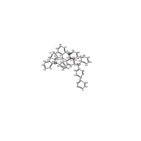 c1ccc(-c2ccc(N(c3ccc4c(c3)Oc3ccccc3C43c4ccccc4-n4c5ccccc5c5cccc3c54)c3ccccc3-c3ccccc3)cc2)cc1